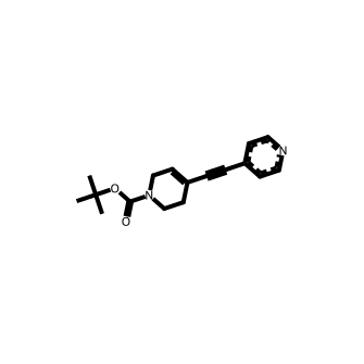 CC(C)(C)OC(=O)N1CC=C(C#Cc2ccncc2)CC1